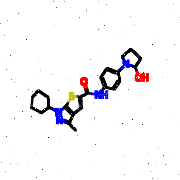 Cc1nn(C2CCCCC2)c2sc(C(=O)Nc3ccc(N4CCCC4O)cc3)cc12